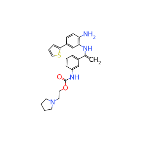 C=C(Nc1cc(-c2cccs2)ccc1N)c1cccc(NC(=O)OCCN2CCCC2)c1